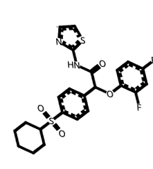 O=C(Nc1n[c]cs1)C(Oc1ccc(F)cc1F)c1ccc(S(=O)(=O)C2CCCCC2)cc1